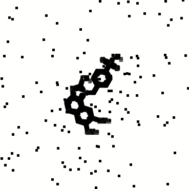 COc1cc2ncc3nc(C)n(Cc4ccc(S(N)(=O)=O)cc4)c3c2cc1OC